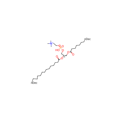 CCCCCCCCCCCCCCCCCCCCCCC(=O)O[C@H](COC(=O)CCCCCCCCCCCCCCCC)COP(=O)(O)OCC[N+](C)(C)C